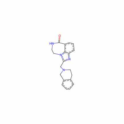 O=C1NCCn2c(CN3CCc4ccccc4C3)nc3cccc1c32